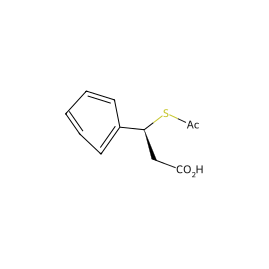 CC(=O)S[C@@H](CC(=O)O)c1ccccc1